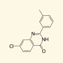 Cc1cccc(-c2nc3cc(Cl)ccc3c(=O)[nH]2)c1